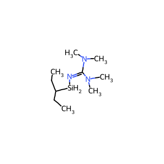 CCC(CC)[SiH2]N=C(N(C)C)N(C)C